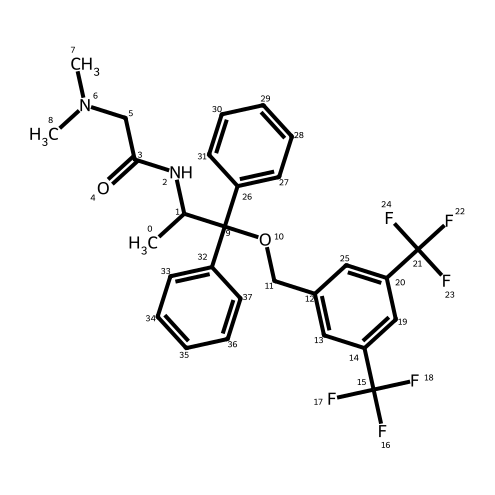 CC(NC(=O)CN(C)C)C(OCc1cc(C(F)(F)F)cc(C(F)(F)F)c1)(c1ccccc1)c1ccccc1